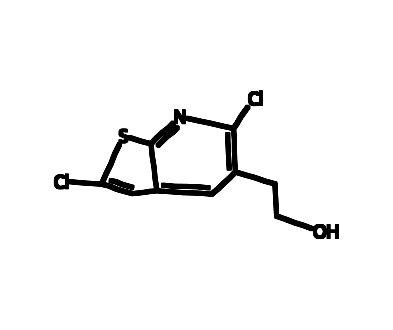 OCCc1cc2cc(Cl)sc2nc1Cl